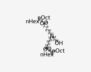 CCCCCCCCC(CCCCCC)COC(=O)CCCCCCN(CCCO)CCCCCC(=O)OCC(CCCCCC)CCCCCCCC